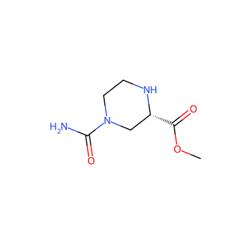 COC(=O)[C@@H]1CN(C(N)=O)CCN1